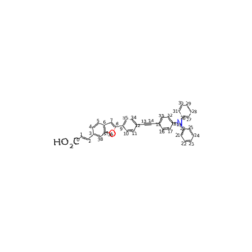 O=C(O)C=Cc1ccc2cc(-c3ccc(C#Cc4ccc(N(c5ccccc5)c5ccccc5)cc4)cc3)oc2c1